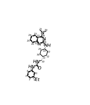 CCc1cccc(NC(=O)NC[C@H]2CC[C@@H](Nc3nc(N(C)C)c4ccccc4n3)CC2)c1